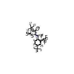 CC(C)(C)c1ccc(/C=C2\SC(=S)N(C(C)(C)C)C2=O)c(C(F)(F)F)c1